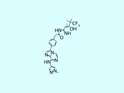 Cn1cc(Nc2nccn3c(-c4ccc(CC(=O)NC(=N)/C=C(\O)C(C)(C)C(F)(F)F)cc4)cnc23)cn1